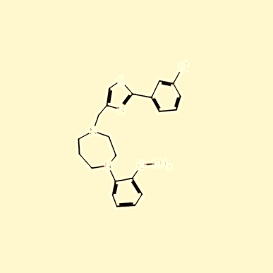 COc1ccccc1N1CCCN(Cc2csc(-c3cccc(Cl)c3)n2)CC1